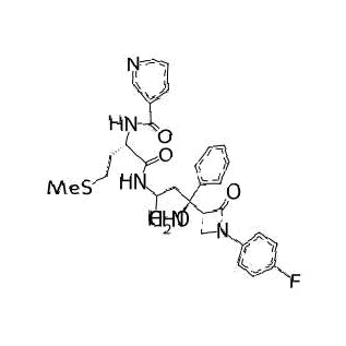 CSCC[C@H](NC(=O)c1cccnc1)C(=O)NC(C=O)C[C@](N)(c1ccccc1)C1CN(c2ccc(F)cc2)C1=O